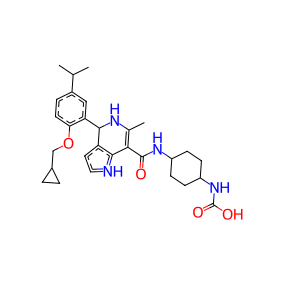 CC1=C(C(=O)NC2CCC(NC(=O)O)CC2)c2[nH]ccc2C(c2cc(C(C)C)ccc2OCC2CC2)N1